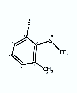 Cc1cccc(F)c1SC(F)(F)F